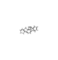 C1=CC2=C(CC1)c1ccc3c([nH]c4ccccc43)c1C2